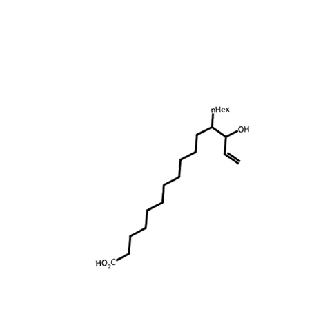 C=CC(O)C(CCCCCC)CCCCCCCCCCC(=O)O